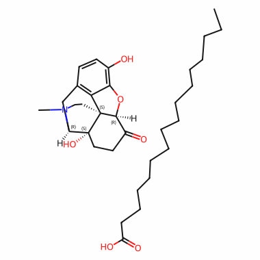 CCCCCCCCCCCCCCCC(=O)O.CN1CC[C@]23c4c5ccc(O)c4O[C@H]2C(=O)CC[C@@]3(O)[C@H]1C5